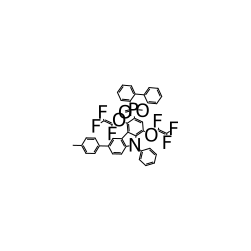 Cc1ccc(-c2ccc3c(c2)c2c(OC(F)=C(F)F)c(P4(=O)Oc5ccccc5-c5ccccc54)cc(OC(F)=C(F)F)c2n3-c2ccccc2)cc1